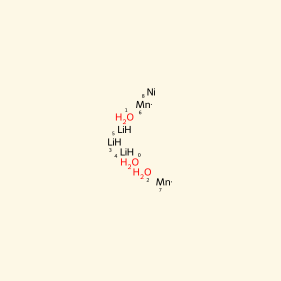 O.O.O.[LiH].[LiH].[LiH].[Mn].[Mn].[Ni]